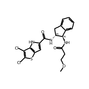 COCCC(=O)N[C@@H]1c2ccccc2C[C@H]1NC(=O)c1cc2sc(Cl)c(Cl)c2[nH]1